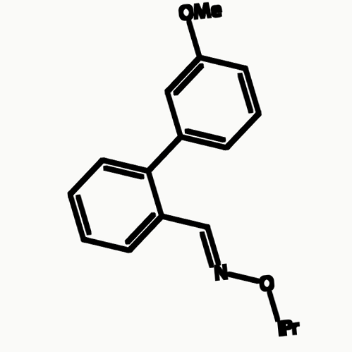 COc1cccc(-c2ccccc2/C=N/OC(C)C)c1